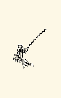 C#C[C@@H](COP(=O)(N[C@@H](C)C(=O)OCCCCCCCCCCCCCCCCCC)Oc1ccccc1)[C@@H](O)C[C@@H](O)n1cnc2c(N)nc(F)nc21